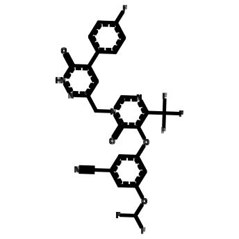 N#Cc1cc(Oc2c(C(F)(F)F)ncn(Cc3cc(-c4ccc(F)cc4)c(=O)[nH]n3)c2=O)cc(OC(F)F)c1